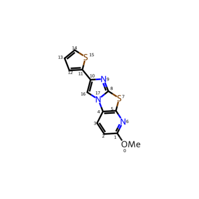 COc1ccc2c(n1)sc1nc(-c3cccs3)cn12